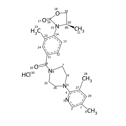 Cc1cnc(N2CCN(C(=O)c3ccc(N4C(=O)OC[C@H]4C)c(C)c3)CC2)c(C)c1.Cl